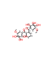 COc1cc(C(=O)c2ccccc2C(=O)c2cc(OC)c(O)c(O)c2O)c(O)c(O)c1O